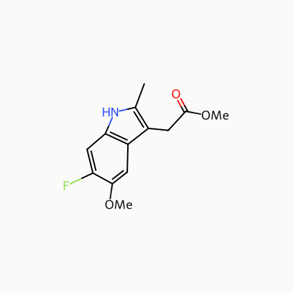 COC(=O)Cc1c(C)[nH]c2cc(F)c(OC)cc12